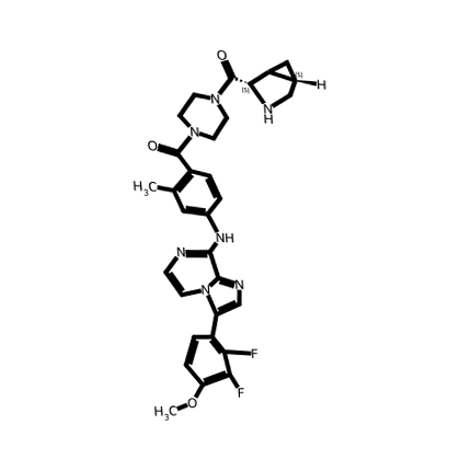 COc1ccc(-c2cnc3c(Nc4ccc(C(=O)N5CCN(C(=O)[C@H]6NC[C@H]7CC76)CC5)c(C)c4)nccn23)c(F)c1F